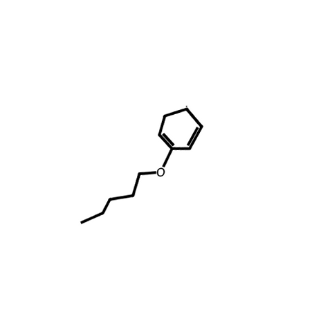 CCCCCOC1=CC[CH]C=C1